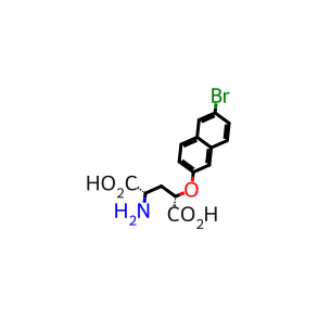 N[C@@H](C[C@H](Oc1ccc2cc(Br)ccc2c1)C(=O)O)C(=O)O